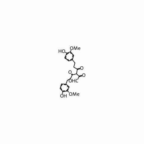 COc1cc(CCC(=O)C(C(=O)C=O)C(=O)CCc2ccc(O)c(OC)c2)ccc1O